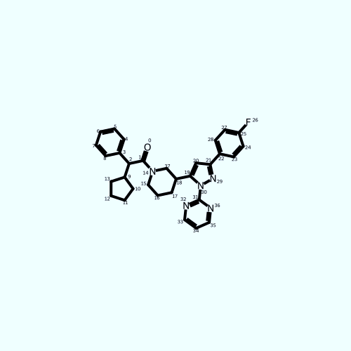 O=C(C(c1ccccc1)C1CCCC1)N1CCCC(c2cc(-c3ccc(F)cc3)nn2-c2ncccn2)C1